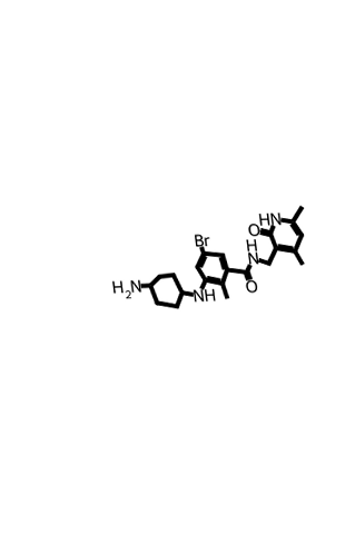 Cc1cc(C)c(CNC(=O)c2cc(Br)cc(NC3CCC(N)CC3)c2C)c(=O)[nH]1